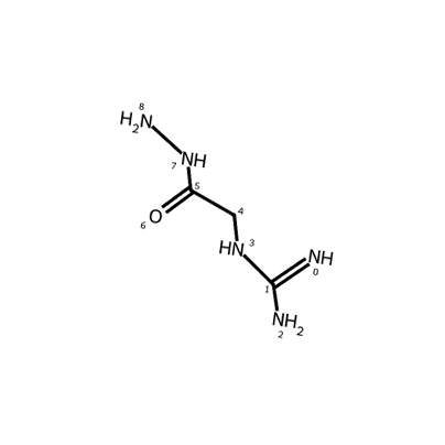 N=C(N)NCC(=O)NN